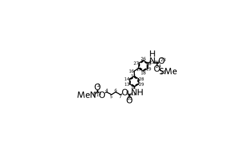 CNC(=O)OCCCCOC(=O)Nc1ccc(Cc2ccc(NC(=O)OSC)cc2)cc1